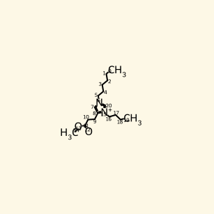 CCCCCCn1cc(CCC(=O)OC)[n+](CCCC)c1